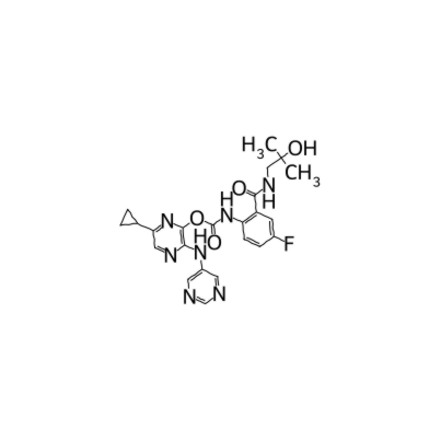 CC(C)(O)CNC(=O)c1cc(F)ccc1NC(=O)Oc1nc(C2CC2)cnc1Nc1cncnc1